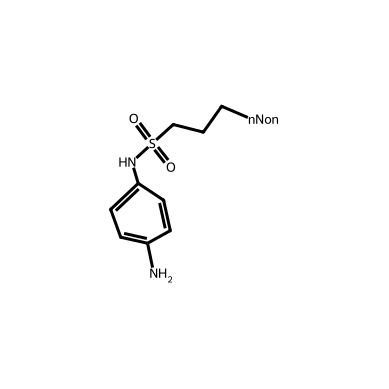 CCCCCCCCCCCCS(=O)(=O)Nc1ccc(N)cc1